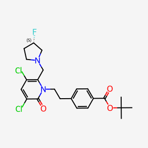 CC(C)(C)OC(=O)c1ccc(CCn2c(CN3CC[C@H](F)C3)c(Cl)cc(Cl)c2=O)cc1